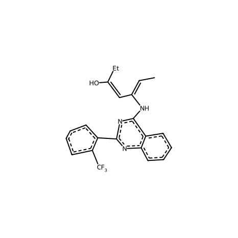 C/C=C(/C=C(/O)CC)Nc1nc(-c2ccccc2C(F)(F)F)nc2ccccc12